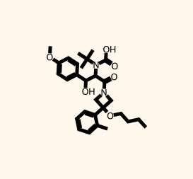 CCCCOC1(c2ccccc2C)CN(C(=O)C(C(O)c2ccc(OC)cc2)N(C(=O)O)C(C)(C)C)C1